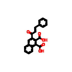 O=C(C=Cc1ccccc1)c1cc2ccccc2c(C(=O)O)c1C(=O)O